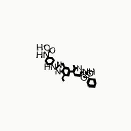 CCc1cc(-c2ccc(NS(=O)(=O)c3ccccc3)nc2C)cc2cnc(N[C@H]3CC[C@H](NC(=O)O)CC3)nc12